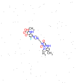 CCc1cc(Nc2cc(=O)n(CCCCN3CCN(c4cc5[nH]c(CC)c(C(=O)O)c(=O)c5cc4F)CC3)c(=O)[nH]2)ccc1C